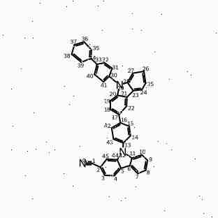 N#Cc1ccc2c3ccccc3n(-c3ccc(-c4ccc5c(c4)c4ccccc4n5-c4ccc(-c5ccccc5)cc4)cc3)c2c1